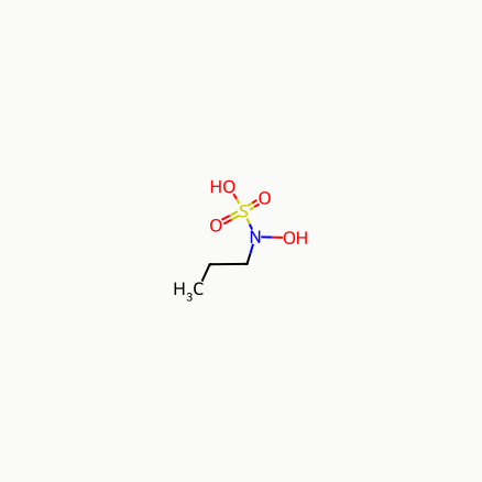 CCCN(O)S(=O)(=O)O